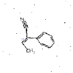 C/C=C(/C#N)c1ccccc1